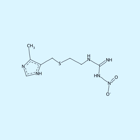 Cc1nc[nH]c1CSCCNC(=N)N[N+](=O)[O-]